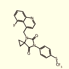 O=C1N(c2ccc(SC(F)(F)F)cc2)C(=O)C2(CC2)N1Cc1ccnc2cccc(F)c12